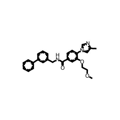 COCCOc1cc(C(=O)NCc2cccc(-c3ccccc3)c2)ccc1-n1cnc(C)c1